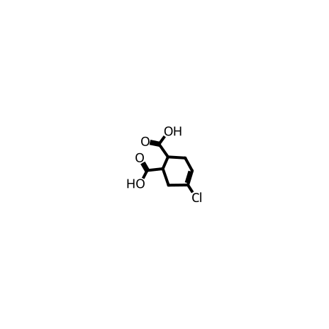 O=C(O)C1CC=C(Cl)CC1C(=O)O